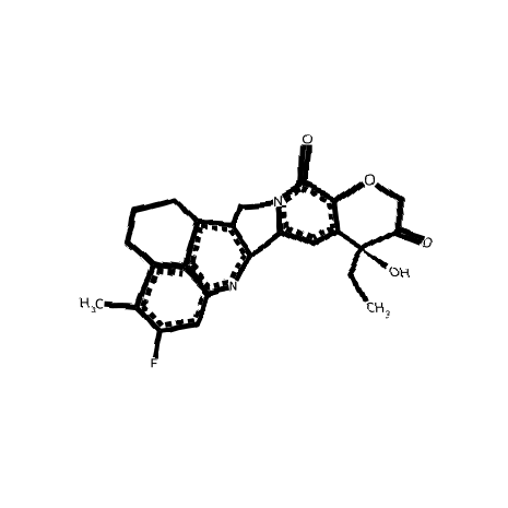 CC[C@@]1(O)C(=O)COc2c1cc1n(c2=O)Cc2c-1nc1cc(F)c(C)c3c1c2CCC3